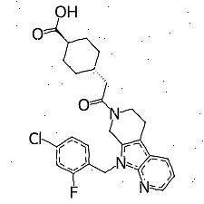 O=C(C[C@H]1CC[C@H](C(=O)O)CC1)N1CCc2c(n(Cc3ccc(Cl)cc3F)c3ncccc23)C1